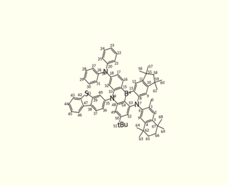 Cc1cc2c(cc1N1c3cc4c(cc3B3c5ccc(N(c6ccccc6)c6ccccc6)cc5N(c5ccc6c(c5)sc5ccccc56)c5cc(C(C)(C)C)cc1c53)C(C)(C)CC4(C)C)C(C)(C)CCC2(C)C